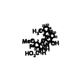 COc1ccc([C@H](CC(=O)O)NC(=O)Nc2c(O)c3c(n(Cc4c(C)cccc4Cl)c2=O)CCC3)cc1F